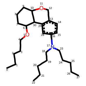 CCCCCOC1CCCC2OCc3ccc(N(CCCCC)CCCCC)cc3C12